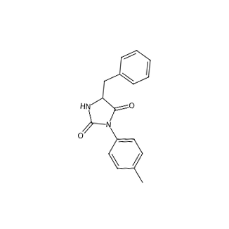 Cc1ccc(N2C(=O)NC(Cc3ccccc3)C2=O)cc1